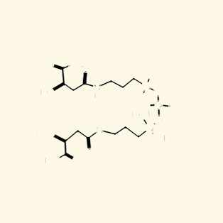 C=C(CC(=O)NCCC[Si](C)(C)O[Si](C)(C)O[Si](C)(C)CCCNC(=O)CC(=C)C(=O)O)C(=O)O